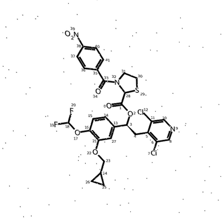 O=C(O[C@@H](Cc1c(Cl)cncc1Cl)c1ccc(OC(F)F)c(OCC2CC2)c1)C1SCCN1C(=O)c1ccc([N+](=O)[O-])cc1